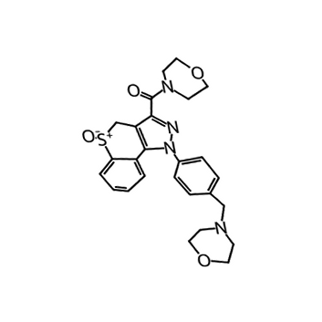 O=C(c1nn(-c2ccc(CN3CCOCC3)cc2)c2c1C[S+]([O-])c1ccccc1-2)N1CCOCC1